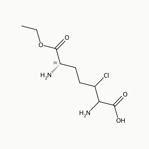 CCOC(=O)[C@@H](N)CCC(Cl)C(N)C(=O)O